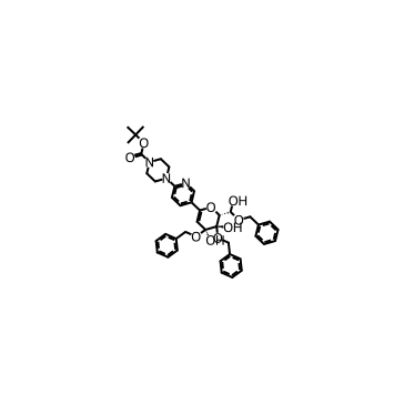 CC(C)(C)OC(=O)N1CCN(c2ccc(C3=C[C@](O)(OCc4ccccc4)[C@@](O)(OCc4ccccc4)[C@@H](C(O)OCc4ccccc4)O3)cn2)CC1